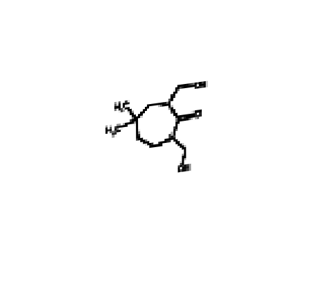 CC1(C)CCN(CO)C(=O)C(CO)C1